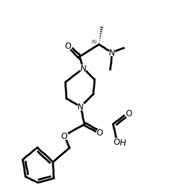 C[C@@H](C(=O)N1CCN(C(=O)OCc2ccccc2)CC1)N(C)C.O=CO